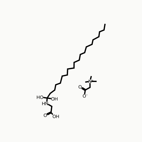 CCCCCCCCCCCCCCCCCCCC(O)(O)NCC(=O)O.C[N+](C)(C)CC(=O)[O-]